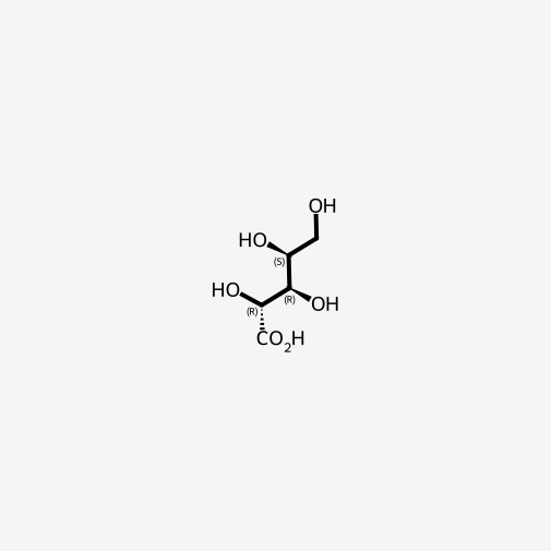 O=C(O)[C@H](O)[C@H](O)[C@@H](O)CO